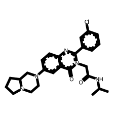 CC(C)NC(=O)Cn1c(-c2cccc(Cl)c2)nc2ccc(N3CCN4CCCC4C3)cc2c1=O